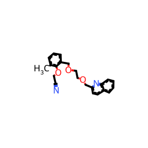 Cc1cccc(COCCOCc2ccc3ccccc3n2)c1OCC#N